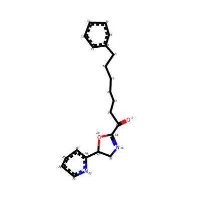 O=C(CCCCCCc1ccccc1)C1=NCC(c2ccccn2)O1